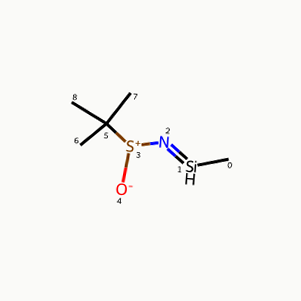 C/[SiH]=N/[S+]([O-])C(C)(C)C